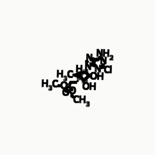 CCOP(=O)(CC[C@]12C(C)[C@@H]1[C@@H](n1cnc3c(N)nc(Cl)nc31)[C@H](O)[C@@H]2O)OCC